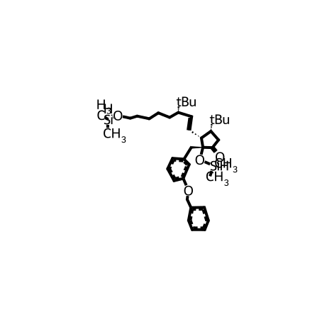 C[SiH](C)OCCCCC[C@@H](C=C[C@@H]1[C@H](C(C)(C)C)CC(=O)[C@]1(Cc1cccc(OCc2ccccc2)c1)O[SiH](C)C)C(C)(C)C